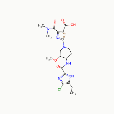 CCc1[nH]c(C(=O)NC2CCN(c3nc(C(=O)N(C)C)c(C(=O)O)s3)CC2OC)nc1Cl